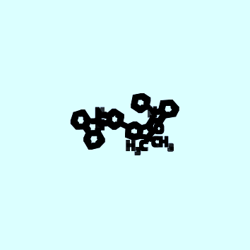 CC1(C)c2ccc(-c3ccc4nc5c6ccccc6c6ccccc6n5c4c3)cc2-c2c1oc1c3ccccc3n(-c3ccccc3)c21